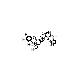 Cc1cnc(Nc2ccnn2C)nc1-n1cc2c(n1)C(=O)N(Cc1ccc(F)c(F)c1)C(CO)(CO)C2